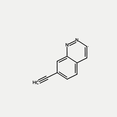 C#Cc1ccc2c[c]nnc2c1